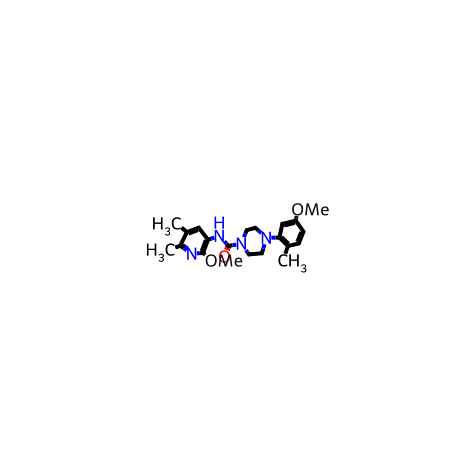 COc1ccc(C)c(N2CCN(C(=O)Nc3cc(C)c(C)nc3OC)CC2)c1